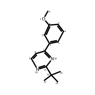 COc1cccc(-c2ccnc(C(C)(C)C)n2)c1